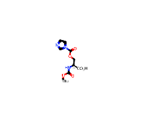 CC(C)(C)OC(=O)N[C@@H](COC(=O)n1ccnc1)C(=O)O